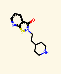 O=c1c2cccnc2sn1CCC1CCNCC1